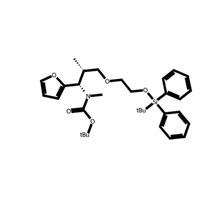 C[C@H](COCCO[Si](c1ccccc1)(c1ccccc1)C(C)(C)C)[C@@H](c1ccco1)N(C)C(=O)OC(C)(C)C